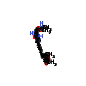 CC(C)NC(=O)O[C@@H]1CC[C@H](c2cc(NC(=O)c3cnn(CCCCCCCCCCCc4ccc5c(c4)n(C)c(=O)n5C4CCC(=O)N(C)C4=O)c3)n[nH]2)C1